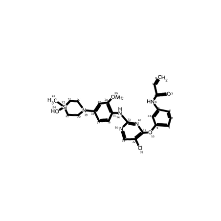 C=CC(=O)Nc1cccc(Oc2nc(Nc3ccc(N4CC[Si](C)(O)CC4)cc3OC)ncc2Cl)c1